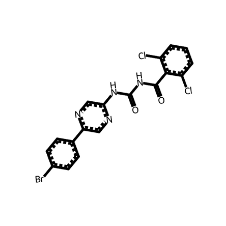 O=C(NC(=O)c1c(Cl)cccc1Cl)Nc1cnc(-c2ccc(Br)cc2)cn1